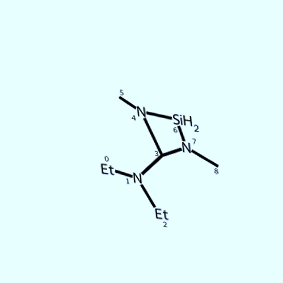 CCN(CC)C1N(C)[SiH2]N1C